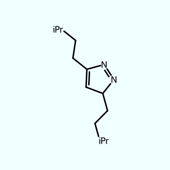 CC(C)CCC1=CC(CCC(C)C)N=N1